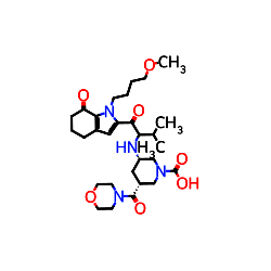 COCCCCn1c(C(=O)C(N[C@H]2C[C@@H](C(=O)N3CCOCC3)CN(C(=O)O)C2)C(C)C)cc2c1C(=O)CCC2